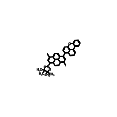 CC1(C)OB(c2cc(I)c3ccc4c(-c5ccc6c7c(cccc57)-c5ccccc5O6)cc(I)c5ccc2c3c54)OC1(C)C